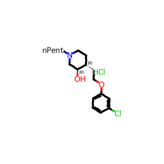 CCCCCN1CC[C@H](CCOc2cccc(Cl)c2)[C@@H](O)C1.Cl